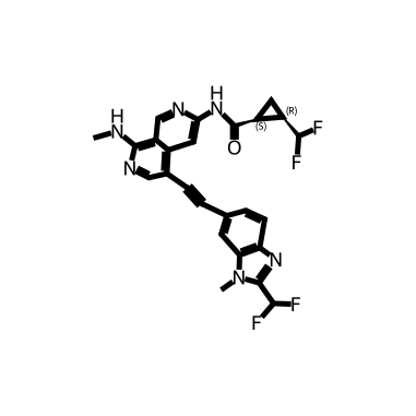 CNc1ncc(C#Cc2ccc3nc(C(F)F)n(C)c3c2)c2cc(NC(=O)[C@H]3C[C@H]3C(F)F)ncc12